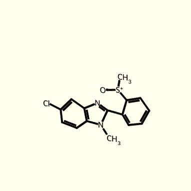 Cn1c(-c2ccccc2[S+](C)[O-])nc2cc(Cl)ccc21